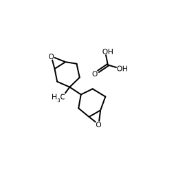 CC1(C2CCC3OC3C2)CCC2OC2C1.O=C(O)O